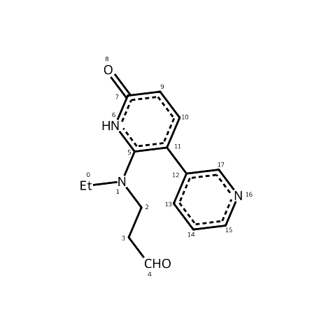 CCN(CCC=O)c1[nH]c(=O)ccc1-c1cccnc1